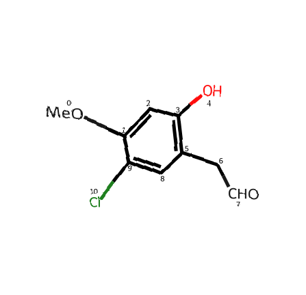 COc1cc(O)c(CC=O)cc1Cl